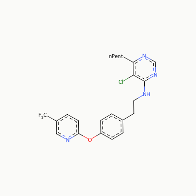 CCCCCc1ncnc(NCCc2ccc(Oc3ccc(C(F)(F)F)cn3)cc2)c1Cl